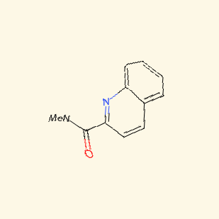 CNC(=O)c1ccc2ccccc2n1